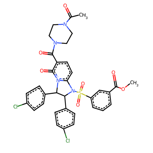 COC(=O)c1cccc(S(=O)(=O)N2c3ccc(C(=O)N4CCN(C(C)=O)CC4)c(=O)n3C(c3ccc(Cl)cc3)C2c2ccc(Cl)cc2)c1